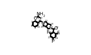 NC(=O)C[C@@H](c1ccccc1)N1CC2CN(C(=O)c3c(F)cc(F)cc3F)CC2C1